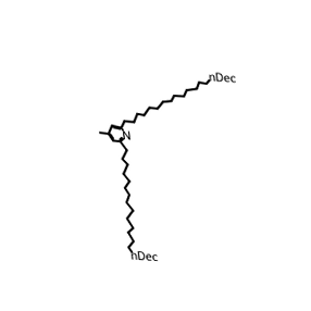 CCCCCCCCCCCCCCCCCCCCCCCCc1cc(C)cc(CCCCCCCCCCCCCCCCCCCCCCCC)n1